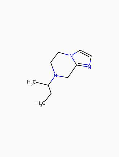 CCC(C)N1CCn2ccnc2C1